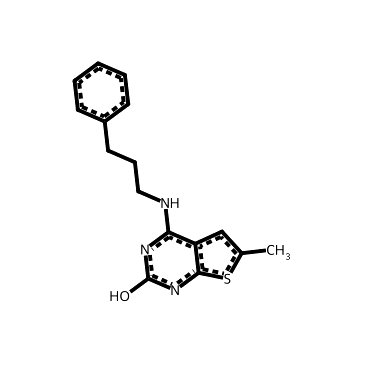 Cc1cc2c(NCCCc3ccccc3)nc(O)nc2s1